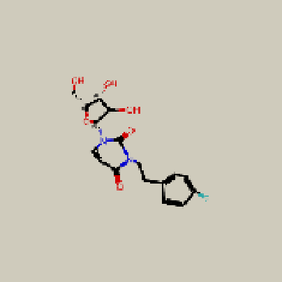 O=c1ccn([C@@H]2O[C@H](CO)[C@H](O)C2O)c(=O)n1CCc1ccc(F)cc1